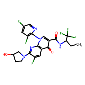 CCC(NC(=O)c1cn(-c2ncc(F)cc2F)c2nc(N3CCC(O)C3)c(F)cc2c1=O)C(F)(F)F